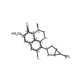 C[C@H]1COc2c(N3CC4C(N)C4C3)c(F)cc3cc(C(=O)O)c(=O)n1c23